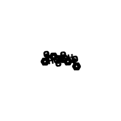 O=C(c1ccccc1)c1ccc(CC(Cc2ccc(C(=O)c3ccccc3)cc2)(C(=O)O)C(=O)O)cc1